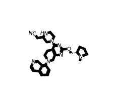 CN1CCC[C@H]1COc1nc2c(c(N3CCNC(CC#N)C3)n1)CCN(c1cccc3ccncc13)C2